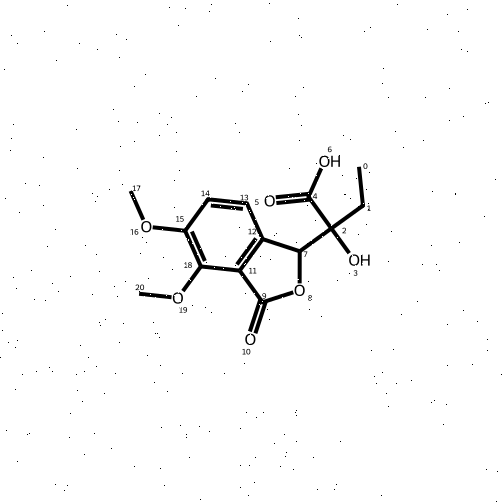 CCC(O)(C(=O)O)C1OC(=O)c2c1ccc(OC)c2OC